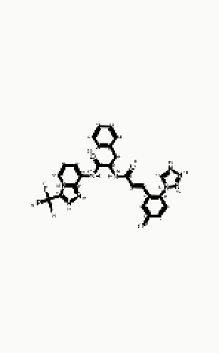 O=C(C=Cc1cc(Cl)ccc1-n1cnnn1)NC(Cc1ccccc1)C(=O)Nc1cccn2c(C(F)(F)F)nnc12